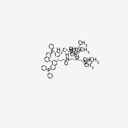 C=CC[Si](C)(C)CCC[Si](CCCNC(=O)CCCc1cc(-c2cccc3ccc(P(c4ccccc4)c4ccccc4)cc23)c2cc(P(c3ccccc3)c3ccccc3)ccc2c1)(CCC[Si](C)(C)CC=C)CCC[Si](C)(C)CC=C